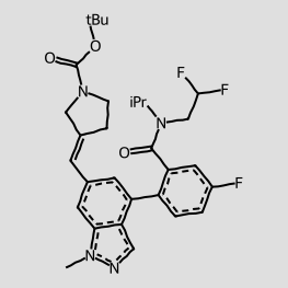 CC(C)N(CC(F)F)C(=O)c1cc(F)ccc1-c1cc(C=C2CCN(C(=O)OC(C)(C)C)C2)cc2c1cnn2C